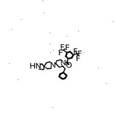 O=C(c1cc(C(F)(F)F)cc(C(F)(F)F)c1)N1CCC(N2CCC3(CCNC3)CC2)CC1Cc1ccccc1